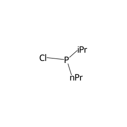 CCCP(Cl)C(C)C